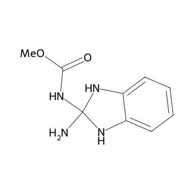 COC(=O)NC1(N)Nc2ccccc2N1